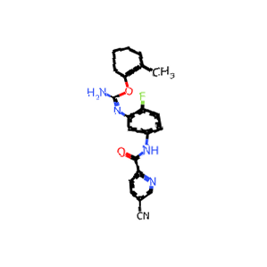 CC1=C(O/C(N)=N\c2cc(NC(=O)c3ccc(C#N)cn3)ccc2F)CCCC1